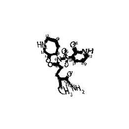 CC(C[CH]C(=O)N([C@H]1CCCNCC1=O)S(=O)(=O)c1ccc[nH]c1=O)C(N)=O